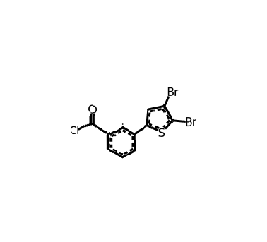 O=C(Cl)c1[c]c(-c2cc(Br)c(Br)s2)ccc1